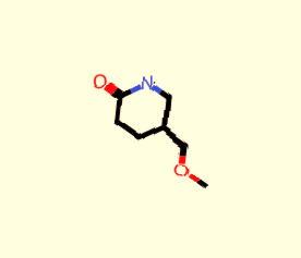 COCC1CCC(=O)[N]C1